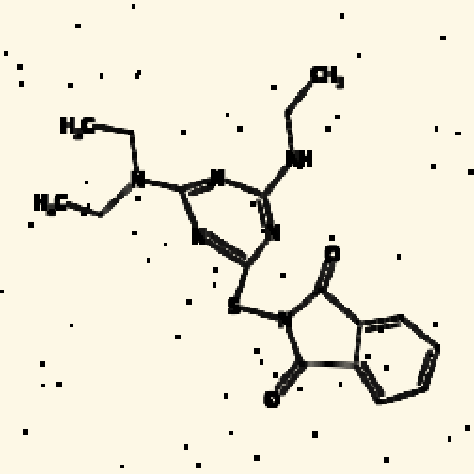 CCNc1nc(SN2C(=O)c3ccccc3C2=O)nc(N(CC)CC)n1